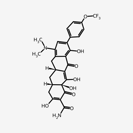 CN(C)c1cc(-c2ccc(OC(F)(F)F)cc2)c(O)c2c1C[C@H]1C[C@H]3CC(O)=C(C(N)=O)C(=O)[C@@]3(O)C(O)=C1C2=O